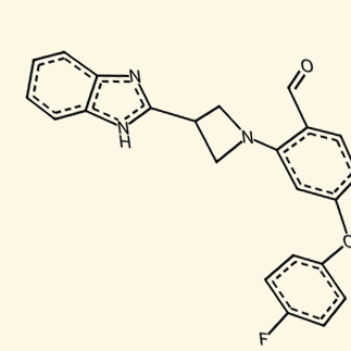 O=Cc1ccc(Oc2ccc(F)cc2)cc1N1CC(c2nc3ccccc3[nH]2)C1